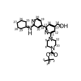 CC(C)(C)OC(=O)N1CCN(c2cc(CO)cc(-c3ccnc(NC4CCCCC4)c3)n2)CC1